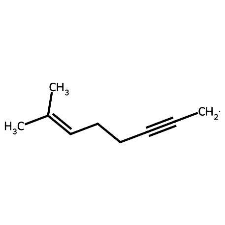 [CH2]C#CCCC=C(C)C